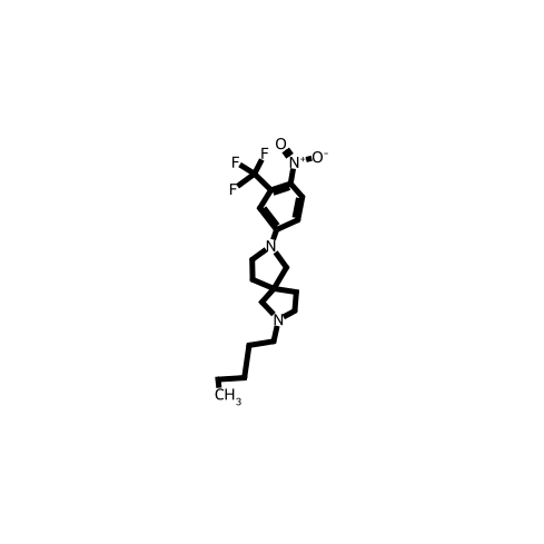 CCCCCN1CCC2(CCN(c3ccc([N+](=O)[O-])c(C(F)(F)F)c3)C2)C1